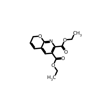 CCOC(=O)c1cc2c(nc1C(=O)OCC)OCC=C2